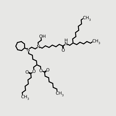 CCCCCCCCC(CCCCCC)CNC(=O)CCCCCCN(CCO)CCN(CCCCC(COC(=O)CCCCCCC)COC(=O)CCCCCCC)C1CCCCCC1